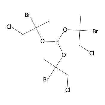 CC(Br)(CCl)OP(OC(C)(Br)CCl)OC(C)(Br)CCl